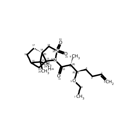 C=CCC[C@@H](OCC)[C@@H](C)C(=O)N1[C@H]2CC3CC[C@@]2(CS1(=O)=O)C3(C)C